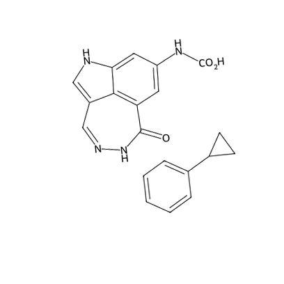 O=C(O)Nc1cc2c3c(c[nH]c3c1)C=NNC2=O.c1ccc(C2CC2)cc1